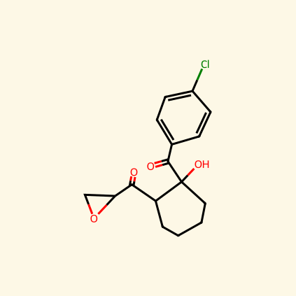 O=C(C1CO1)C1CCCCC1(O)C(=O)c1ccc(Cl)cc1